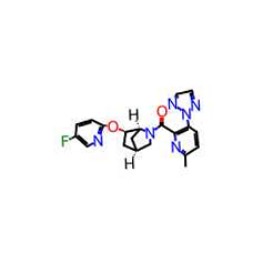 Cc1ccc(-n2nccn2)c(C(=O)N2C[C@H]3C[C@@H](Oc4ccc(F)cn4)[C@@H]2C3)n1